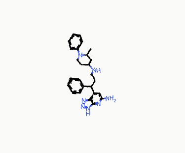 CC1CC(NCCC(c2ccccc2)c2cc(N)nc3[nH]nnc23)CCN1c1ccccc1